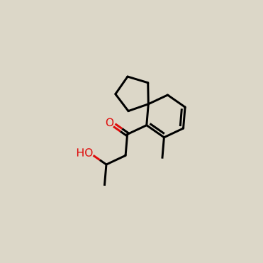 CC1=C(C(=O)CC(C)O)C2(CC=C1)CCCC2